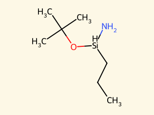 CCC[SiH](N)OC(C)(C)C